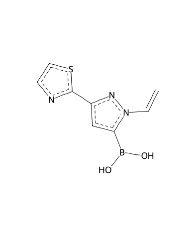 C=Cn1nc(-c2nccs2)cc1B(O)O